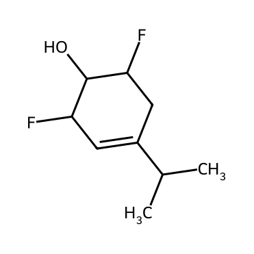 CC(C)C1=CC(F)C(O)C(F)C1